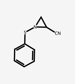 N#CC1CN1Sc1ccccc1